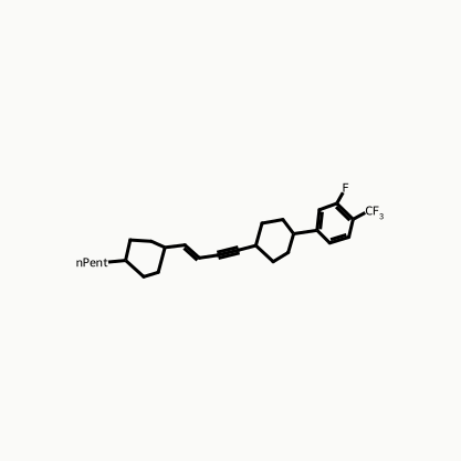 CCCCCC1CCC(C=CC#CC2CCC(c3ccc(C(F)(F)F)c(F)c3)CC2)CC1